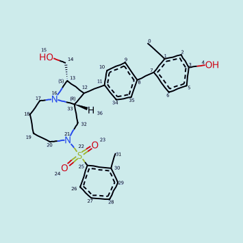 Cc1cc(O)ccc1-c1ccc(C2[C@@H](CO)N3CCCCN(S(=O)(=O)c4ccccc4C)C[C@@H]23)cc1